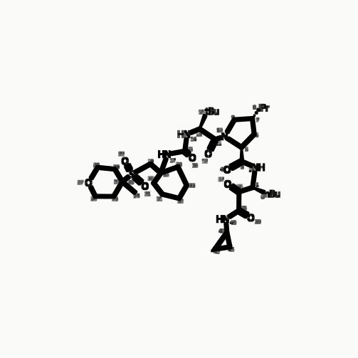 CCCC[C@H](NC(=O)[C@@H]1C[C@@H](C(C)C)CN1C(=O)[C@@H](NC(=O)NC1(CS(=O)(=O)C2(C)CCOCC2)CCCCC1)C(C)(C)C)C(=O)C(=O)NC1CC1